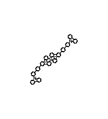 c1ccc([Si](c2ccccc2)(c2cccc3c2oc2ccc(-c4ccc(-c5ccc(-n6c7ccccc7c7ccccc76)cc5)cc4)cc23)c2cccc3c2oc2ccc(-c4ccc(-c5cccc(-n6c7ccccc7c7ccccc76)c5)cc4)cc23)cc1